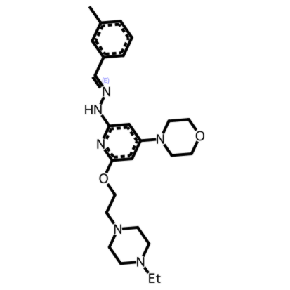 CCN1CCN(CCOc2cc(N3CCOCC3)cc(N/N=C/c3cccc(C)c3)n2)CC1